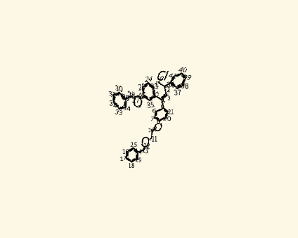 ClCC(/C=C(/c1ccc(OCCOCc2ccccc2)cc1)c1cccc(OCc2ccccc2)c1)c1ccccc1